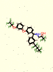 O[C@H](CNC(c1cccc(Oc2cccc(OC(F)(F)C(F)F)c2)c1)c1cccc(C(F)(F)C(F)(F)C(F)(F)F)c1)C(F)(F)F